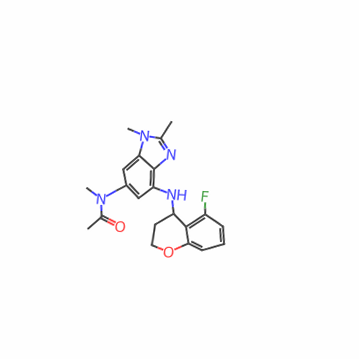 CC(=O)N(C)c1cc(NC2CCOc3cccc(F)c32)c2nc(C)n(C)c2c1